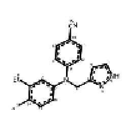 CCc1cc(N(Cc2cc[nH]n2)c2ccc(C#N)cc2)ccc1F